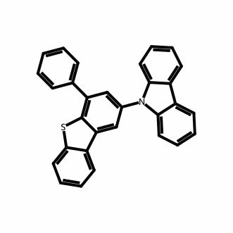 c1ccc(-c2cc(-n3c4ccccc4c4ccccc43)cc3c2sc2ccccc23)cc1